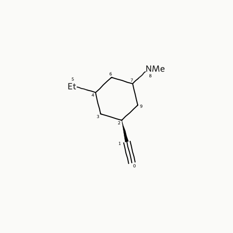 C#C[C@H]1CC(CC)CC(NC)C1